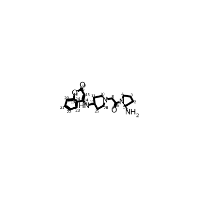 N[C@@H]1CCCN1C(=O)CN1CCC(Nc2cc(=O)oc3ccccc23)CC1